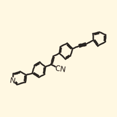 N#C/C(=C\c1ccc(C#Cc2ccccc2)cc1)c1ccc(-c2ccncc2)cc1